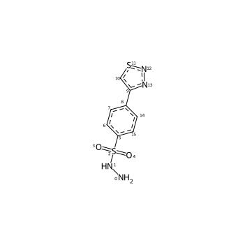 NNS(=O)(=O)c1ccc(-c2csnn2)cc1